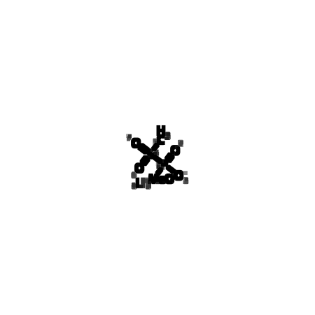 COP(=O)([O-])S(C)(=O)=O.[Li+]